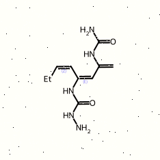 C=C(/C=C(\C=C/CC)NC(=O)NN)NC(N)=O